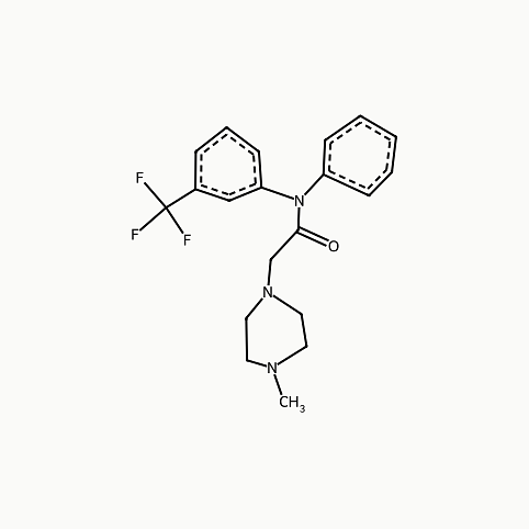 CN1CCN(CC(=O)N(c2ccccc2)c2cccc(C(F)(F)F)c2)CC1